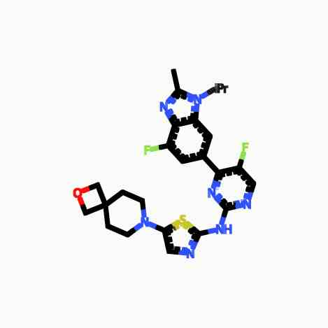 Cc1nc2c(F)cc(-c3nc(Nc4ncc(N5CCC6(CC5)COC6)s4)ncc3F)cc2n1C(C)C